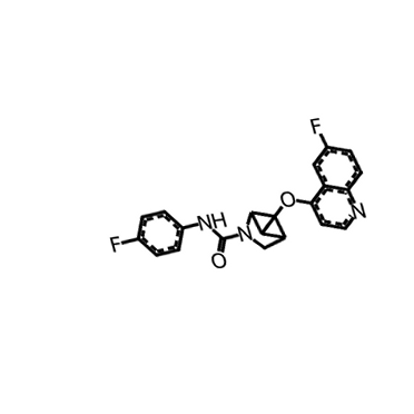 O=C(Nc1ccc(F)cc1)N1CC2C3C1C23Oc1ccnc2ccc(F)cc12